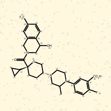 CC1CN([C@@H]2CC[C@@](C(=O)N3Cc4cc(C(F)(F)F)ccc4C(O)C3)(C3CC3)OC2)CCN1c1ccc(F)c(C(=O)O)c1